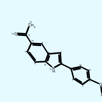 COc1ccc(-c2cc3cc(C(C)=O)ccc3[nH]2)cc1